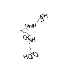 CC(CCC(C)C(=O)NCCCCCC(=O)O)CC(C)C(=O)NCCCCCC(=O)O